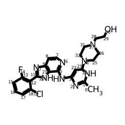 CC1=NC(Nc2nccc3nc(-c4c(F)cccc4Cl)[nH]c23)=CC(N2CCN(CCO)CC2)N1